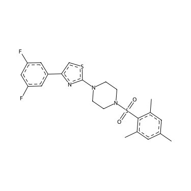 Cc1cc(C)c(S(=O)(=O)N2CCN(c3nc(-c4cc(F)cc(F)c4)cs3)CC2)c(C)c1